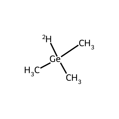 [2H][Ge]([CH3])([CH3])[CH3]